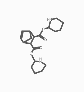 O=C(OC1CCCCN1)C1C2C=CC(C2)C1C(=O)OC1CCCCN1